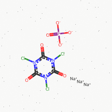 O=P([O-])([O-])[O-].O=c1n(Cl)c(=O)n(Cl)c(=O)n1Cl.[Na+].[Na+].[Na+]